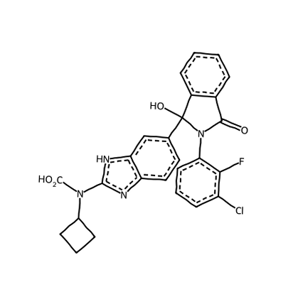 O=C(O)N(c1nc2ccc(C3(O)c4ccccc4C(=O)N3c3cccc(Cl)c3F)cc2[nH]1)C1CCC1